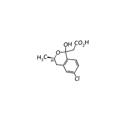 C[C@@H]1Cc2cc(Cl)ccc2C(O)(CC(=O)O)O1